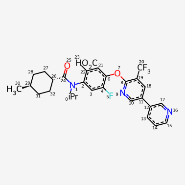 CC(C)N(c1cc(F)c(Oc2ncc(-c3cccnc3)cc2C(F)(F)F)cc1C(=O)O)C(=O)[C@H]1CC[C@H](C)CC1